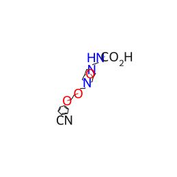 N#Cc1ccc(OCCOCCN2CC3CN(CCNC(=O)O)CC(C2)O3)cc1